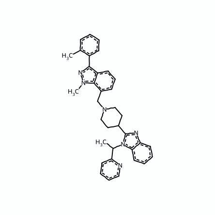 Cc1ccccc1-c1nn(C)c2c(CN3CCC(c4nc5ccccc5n4C(C)c4ccccn4)CC3)cccc12